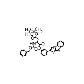 CC(C)(C)OC(=O)CC(NC(=O)OCc1ccccc1)C(=O)Oc1cccc(-c2cn3c(n2)sc2ccccc23)c1